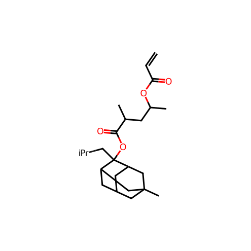 C=CC(=O)OC(C)CC(C)C(=O)OC1(CC(C)C)C2CC3CC1CC(C)(C3)C2